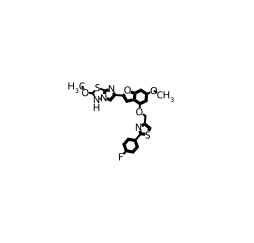 COc1cc(OCc2csc(-c3ccc(F)cc3)n2)c2cc(-c3cn4c(n3)SC(OC)N4)oc2c1